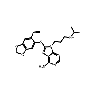 C=Cc1cc2c(cc1Sc1nc3c(N)ncnc3n1CCCNC(C)C)OCO2